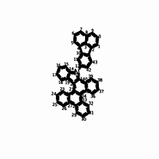 c1cc2c3c(cccc3c1)-c1cc(-n3c4ccccc4c4c5c6ccccc6c6ccccc6c5c5ccccc5c43)ccc1-2